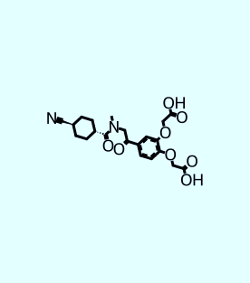 CN(CC(=O)c1ccc(OCC(=O)O)c(OCC(=O)O)c1)C(=O)[C@H]1CC[C@H](C#N)CC1